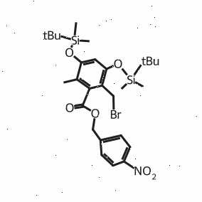 Cc1c(O[Si](C)(C)C(C)(C)C)cc(O[Si](C)(C)C(C)(C)C)c(CBr)c1C(=O)OCc1ccc([N+](=O)[O-])cc1